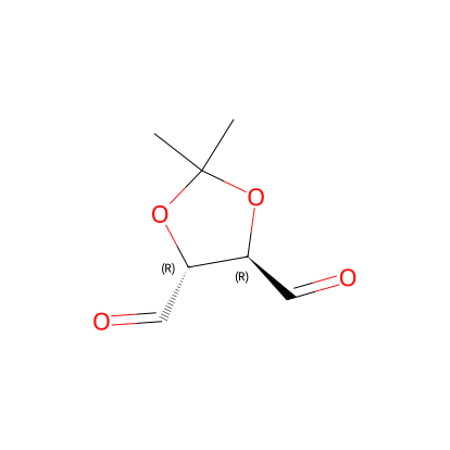 CC1(C)O[C@@H](C=O)[C@H](C=O)O1